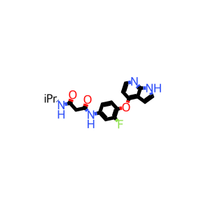 CC(C)NC(=O)CC(=O)Nc1ccc(Oc2ccnc3[nH]ccc23)c(F)c1